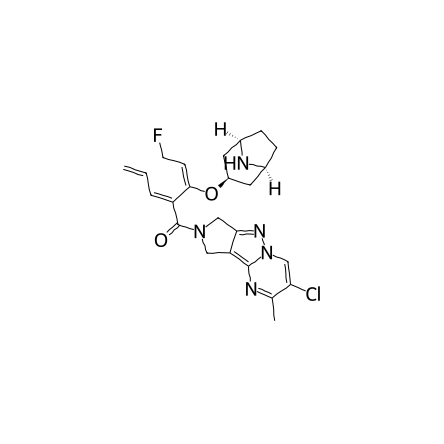 C=C/C=C(C(=O)N1Cc2nn3cc(Cl)c(C)nc3c2C1)\C(=C/CF)O[C@H]1C[C@H]2CC[C@@H](C1)N2